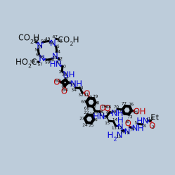 CCC(=O)NCCNC(=O)/N=C(/N)NCCC[C@@H](NC(=O)[C@@H](c1ccccc1)c1ccc(OCCCNc2c(NCCNCN3CCN(CC(=O)O)CCN(CC(=O)O)CCN(CC(=O)O)CC3)c(=O)c2=O)cc1)C(=O)NCc1ccc(O)cc1